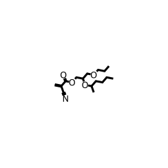 C=C(C#N)C(=O)OCC(COCCC)OC(C)CCCC